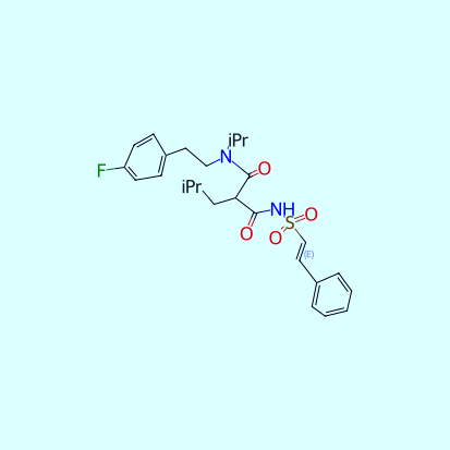 CC(C)CC(C(=O)NS(=O)(=O)/C=C/c1ccccc1)C(=O)N(CCc1ccc(F)cc1)C(C)C